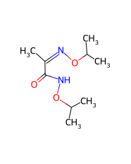 CC(=NOC(C)C)C(=O)NOC(C)C